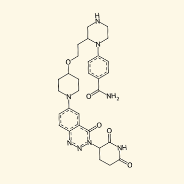 NC(=O)c1ccc(N2CCNCC2CCOC2CCN(c3ccc4nnn(C5CCC(=O)NC5=O)c(=O)c4c3)CC2)cc1